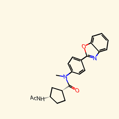 CC(=O)N[C@H]1CC[C@@H](C(=O)N(C)c2ccc(-c3nc4ccccc4o3)cc2)C1